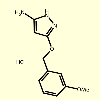 COc1cccc(COc2cc(N)[nH]n2)c1.Cl